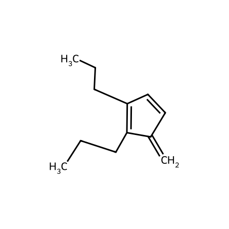 C=C1C=CC(CCC)=C1CCC